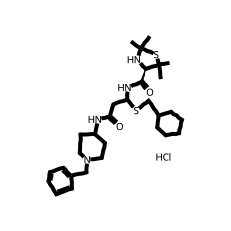 CC1(C)N[C@H](C(=O)NC(CC(=O)NC2CCN(Cc3ccccc3)CC2)SCC2CCCCC2)C(C)(C)S1.Cl